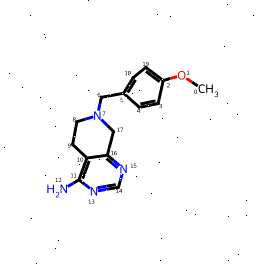 COc1ccc(CN2CCc3c(N)ncnc3C2)cc1